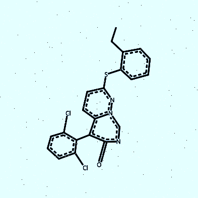 CCc1ccccc1Sc1ccc2c(-c3c(Cl)cccc3Cl)c(=O)ncn2n1